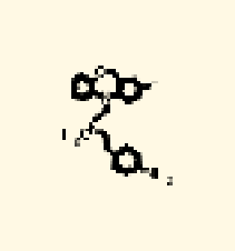 CN(CCc1ccc(N)cc1)CCN1c2ccc(F)cc2COc2ccccc21